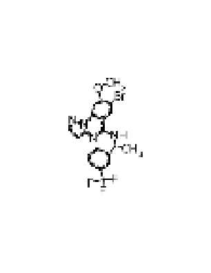 COc1cc2c(cc1Br)c(NC(C)c1cccc(C(F)(F)F)c1)nc1ccnn12